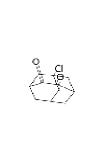 O=C1C(=O)C2CC3CC1CC(Cl)(C3)C2